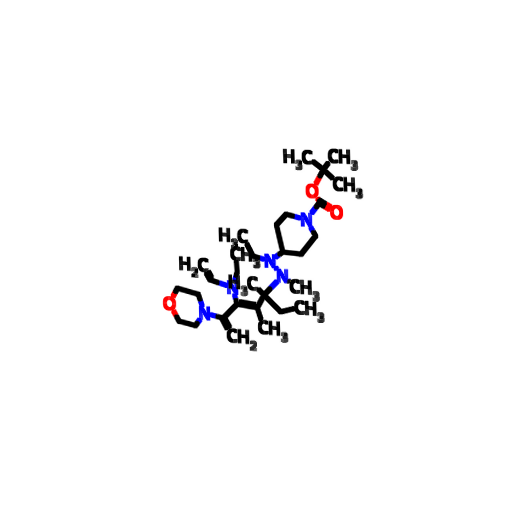 C=CN(CC)/C(C(=C)N1CCOCC1)=C(/C)C(C)(CC)N(C)N(CC)C1CCN(C(=O)OC(C)(C)C)CC1